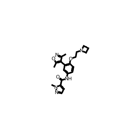 Cc1noc(C)c1-c1cc(NC(=O)c2ccnn2C)ccc1OCCN1CCC1